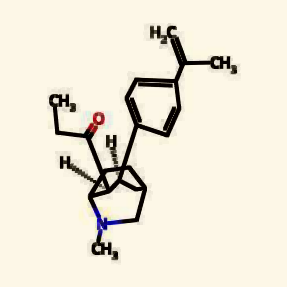 C=C(C)c1ccc([C@H]2CC3CCC([C@H]2C(=O)CC)N(C)C3)cc1